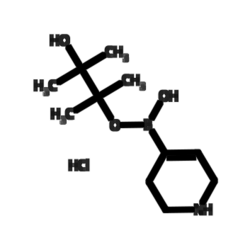 CC(C)(O)C(C)(C)OB(O)C1=CCNCC1.Cl